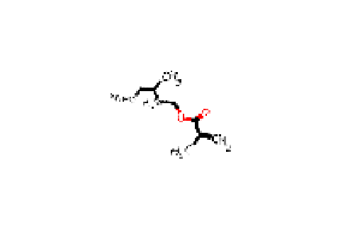 C=C(C)C(=O)OC[SiH2]C(C)COC